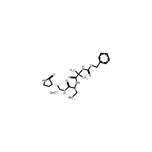 CC(C)(C)C[C@H](NC(=O)C(C)(C)NC(=O)OCc1ccccc1)C(=O)N[C@H](C=O)C[C@@H]1CCNC1=O